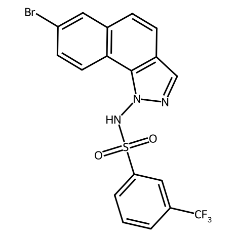 O=S(=O)(Nn1ncc2ccc3cc(Br)ccc3c21)c1cccc(C(F)(F)F)c1